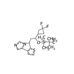 CC(C)(C)[Si](C)(C)OC(CC1c2sccc2-c2cncn21)C1CC(F)(F)C1